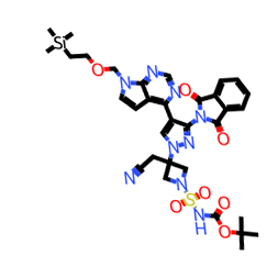 CC(C)(C)OC(=O)NS(=O)(=O)N1CC(CC#N)(n2cc(-c3ncnc4c3ccn4COCC[Si](C)(C)C)c(N3C(=O)c4ccccc4C3=O)n2)C1